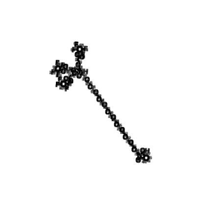 O=C(CCOCCOCCOCCOCCOCCOCCOCCOCCOCCOCCOCCOCCN1C(=O)c2ccccc2C1O)NC(COCCC(=O)Oc1c(F)c(F)cc(F)c1F)(COCCC(=O)Oc1c(F)c(F)cc(F)c1F)COCCC(=O)Oc1c(F)c(F)cc(F)c1F